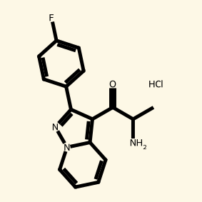 CC(N)C(=O)c1c(-c2ccc(F)cc2)nn2ccccc12.Cl